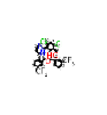 FC(F)(F)c1cccc(COCc2cccc(C(F)(F)F)c2)c1.OCc1cc(-c2ncccn2)c(Cl)cc1Cl